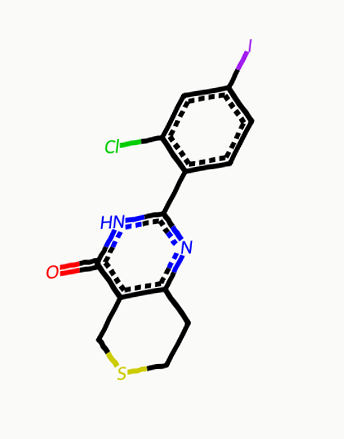 O=c1[nH]c(-c2ccc(I)cc2Cl)nc2c1CSCC2